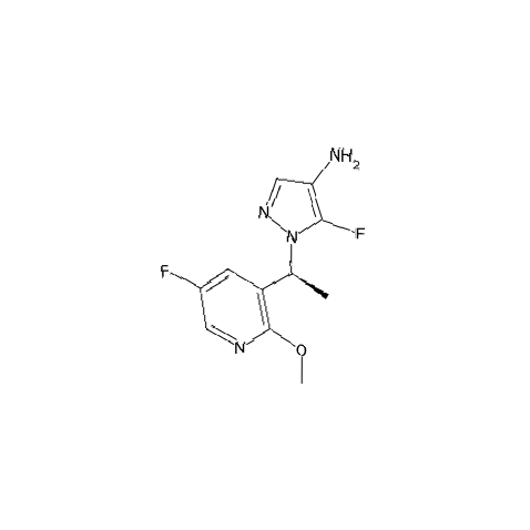 COc1ncc(F)cc1[C@H](C)n1ncc(N)c1F